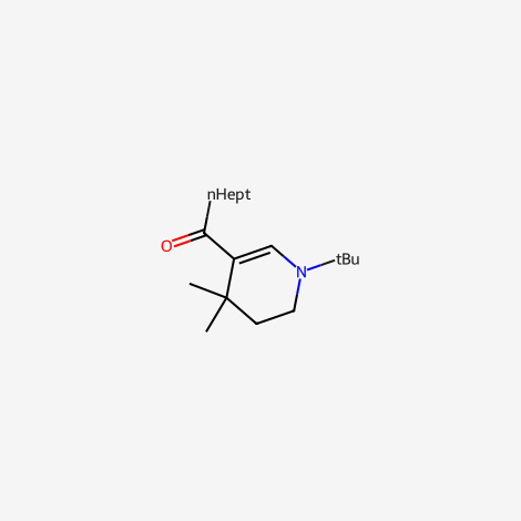 CCCCCCCC(=O)C1=CN(C(C)(C)C)CCC1(C)C